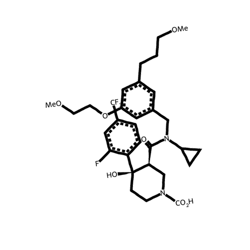 COCCCc1cc(CN(C(=O)[C@H]2CN(C(=O)O)CC[C@]2(O)c2ccc(C(F)(F)F)cc2F)C2CC2)cc(OCCOC)c1